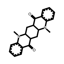 CN1c2ccccc2C(=O)C2CC3C(CC21)C(=O)c1ccccc1N3C